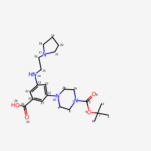 CC(C)(C)OC(=O)N1CCN(c2cc(NCCN3CCCC3)cc(C(=O)O)c2)CC1